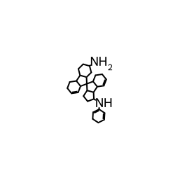 NC1CCC2C3CCC=CC3C3(C4CCC=CC4C4C(NC5=CCCC=C5)CCC43)C2C1